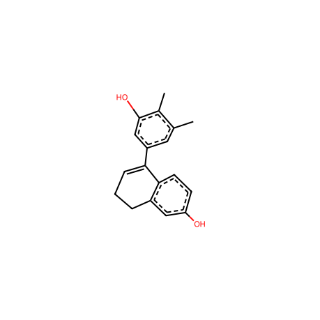 Cc1cc(C2=CCCc3cc(O)ccc32)cc(O)c1C